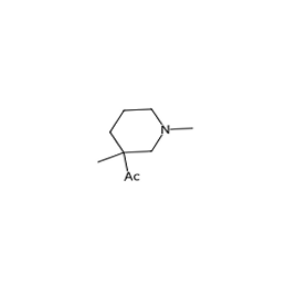 CC(=O)C1(C)CCCN(C)C1